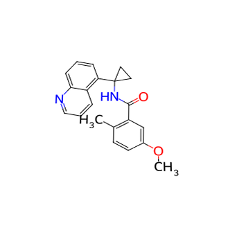 COc1ccc(C)c(C(=O)NC2(c3cccc4ncccc34)CC2)c1